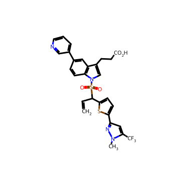 C=CC(c1ccc(-c2cc(C(F)(F)F)n(C)n2)s1)S(=O)(=O)n1cc(CCC(=O)O)c2cc(-c3cccnc3)ccc21